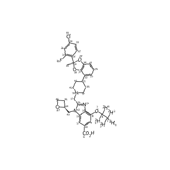 [2H]C([2H])([2H])C([2H])([2H])Oc1cc(C(=O)O)cc2c1nc(CN1CCC(c3cccc4c3OC(C)(c3ccc(Cl)cc3F)O4)CC1)n2C[C@@H]1CCO1